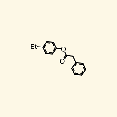 CCc1ccc(OC(=O)Cc2ccccc2)cc1